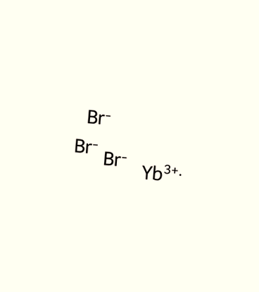 [Br-].[Br-].[Br-].[Yb+3]